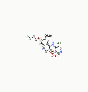 COc1cc2c(Nc3c(Cl)cnc4c3OCO4)c(C#N)cnc2cc1OCCCCl